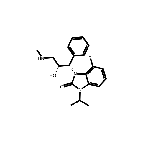 CNC[C@@H](O)[C@H](c1ccccc1)n1c(=O)n(C(C)C)c2cccc(F)c21